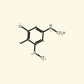 Cc1c(Cl)cc(NC(=O)O)cc1OC(F)(F)F